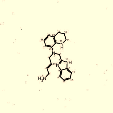 NCC=CCN(Cc1nc2ccccc2[nH]1)c1cccc2c1NCCC2